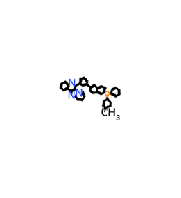 C[C@H]1C=CC(P(c2ccccc2)c2ccc3cc(-c4cccc(-c5nc6ccccc6c6nc7ccccn7c56)c4)ccc3c2)CC1